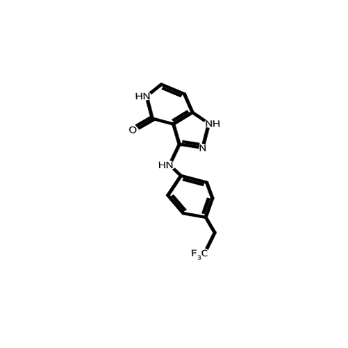 O=c1[nH]ccc2[nH]nc(Nc3ccc(CC(F)(F)F)cc3)c12